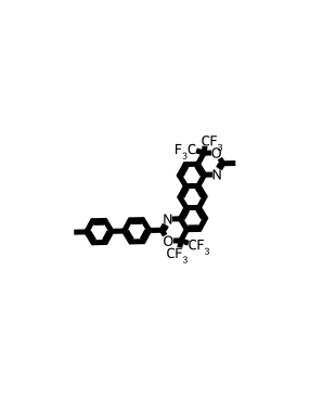 CC1=Nc2c(ccc3cc4c5c(ccc4cc23)C(C(F)(F)F)(C(F)(F)F)OC(c2ccc(-c3ccc(C)cc3)cc2)=N5)C(C(F)(F)F)(C(F)(F)F)O1